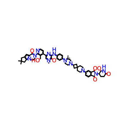 C[C@H]1CN(C2CC3(CCN(c4ccc5c(c4)C(=O)N(C4CCC(=O)NC4=O)C5=O)CC3)C2)CCN1c1ccc(Nc2nc(-c3ccnc(N4CCn5c(cc6c5CC(C)(C)C6)C4=O)c3CO)cn(C)c2=O)cc1